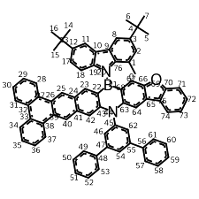 Cc1cc(C(C)(C)C)cc2c3cc(C(C)(C)C)ccc3n(B3c4cc5cc6c7ccccc7c7ccccc7c6cc5cc4N(c4cc(-c5ccccc5)cc(-c5ccccc5)c4)c4cc5c(cc43)oc3ccccc35)c12